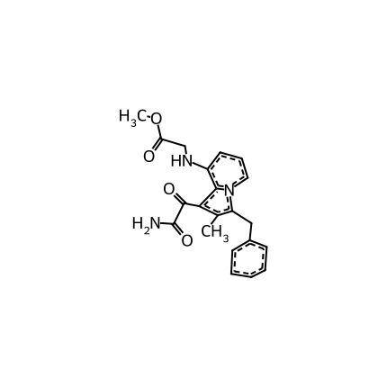 COC(=O)CNc1cccn2c(Cc3ccccc3)c(C)c(C(=O)C(N)=O)c12